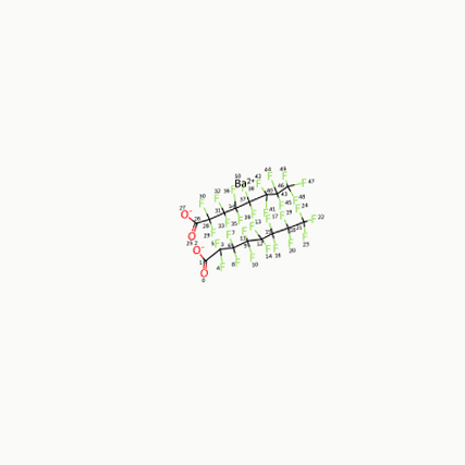 O=C([O-])C(F)(F)C(F)(F)C(F)(F)C(F)(F)C(F)(F)C(F)(F)C(F)(F)F.O=C([O-])C(F)(F)C(F)(F)C(F)(F)C(F)(F)C(F)(F)C(F)(F)C(F)(F)F.[Ba+2]